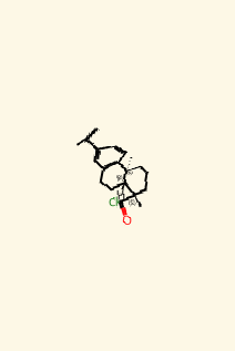 CC(C)c1ccc2c(c1)CC[C@H]1[C@@](C)(C(=O)Cl)CCC[C@]21C